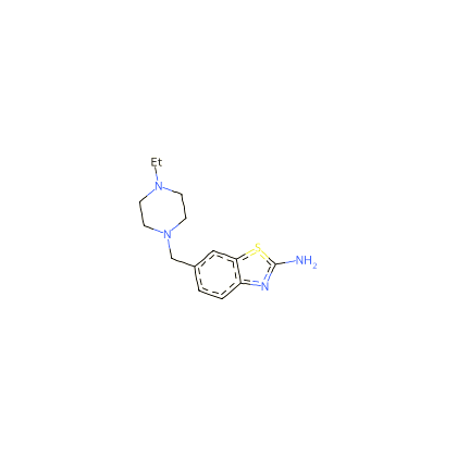 CCN1CCN(Cc2ccc3nc(N)sc3c2)CC1